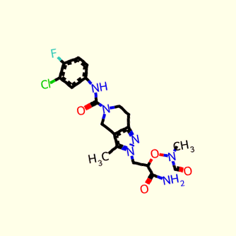 Cc1c2c(nn1CC(ON(C)C=O)C(N)=O)CCN(C(=O)Nc1ccc(F)c(Cl)c1)C2